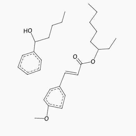 CCCCC(O)c1ccccc1.CCCCCC(CC)OC(=O)C=Cc1ccc(OC)cc1